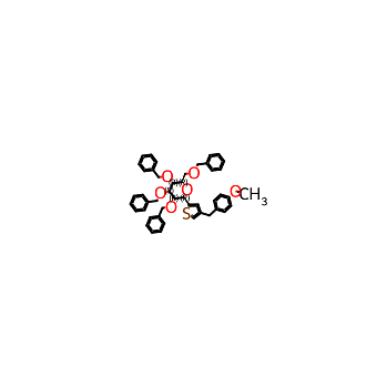 COc1ccc(Cc2csc([C@@H]3O[C@H](COCc4ccccc4)[C@@H](OCc4ccccc4)[C@H](OCc4ccccc4)[C@H]3OCc3ccccc3)c2)cc1